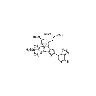 CCCCCCCCC(CCCCCCCC)CC(CC(CCCCCCCC)CCCCCCCC)=C1c2cc(-c3cnc(Br)c4nsnc34)sc2-c2s[c]([Sn]([CH3])([CH3])[CH3])cc21